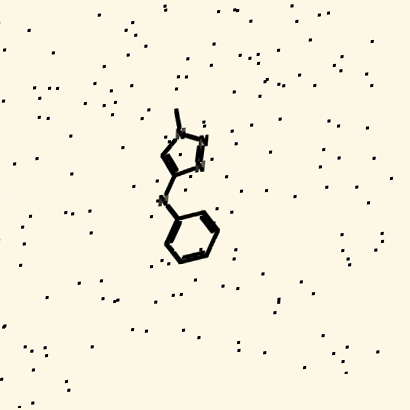 Cn1cc([N]c2ccccc2)nn1